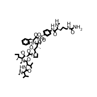 CC[C@H](C)C([C@@H](CC(=O)N1CCC[C@H]1[C@H](OC)[C@@H](C)C(=O)N[C@@H](Cc1ccccc1)C(=O)NS(=O)(=O)c1ccc(NC(=O)[C@H](CCCNC(N)=O)NC)cc1)OC)N(C)C(=O)[C@@H](NC(=O)C(C(C)C)N(C)C)C(C)C